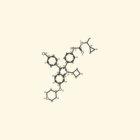 CC(OC(=O)Nc1ccc(-c2c(-c3ccc(Cl)cc3)c3ccc(OC4CCOCC4)cc3n2C2CCC2)cc1)C1CC1